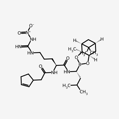 CC(C)C[C@H](NC(=O)[C@H](CCCNC(=N)N[N+](=O)[O-])NC(=O)CC1C=CCC1)B1O[C@@H]2C[C@@H]3C[C@@H](C3(C)C)[C@]2(C)O1